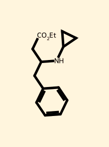 CCOC(=O)CC(Cc1ccccc1)NC1CC1